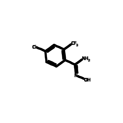 N/C(=N\O)c1ccc(Cl)cc1C(F)(F)F